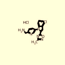 Cc1noc(-c2cc3ccccc3n2-c2ccc(CN)nc2)n1.Cl.Cl